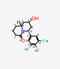 O=C1CCC[C@@H]2CC(O)C[C@@H](c3cc(F)c(F)c(F)c3)N12